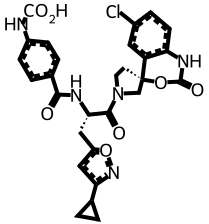 O=C(O)Nc1ccc(C(=O)N[C@@H](Cc2cc(C3CC3)no2)C(=O)N2CC[C@@]3(C2)OC(=O)Nc2ccc(Cl)cc23)cc1